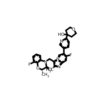 Cc1nc2cc(F)c(-c3ccc(C4(O)CCOCC4)nc3)cn2c1CN1C(=O)[C@H](C)Oc2c(F)cccc21